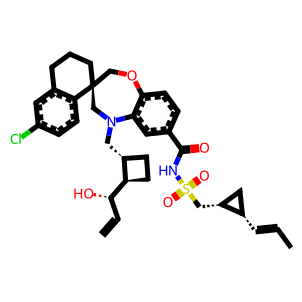 C=C[C@H](O)[C@@H]1CC[C@H]1CN1C[C@@]2(CCCc3cc(Cl)ccc32)COc2ccc(C(=O)NS(=O)(=O)C[C@@H]3C[C@@H]3/C=C/C)cc21